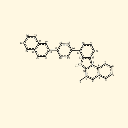 Cc1cc2ccccc2c2c1oc1c(-c3ccc(-c4ccc5ccccc5c4)cc3)cccc12